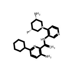 C=C(Nc1cnccc1N1C[C@@H](N)C[C@@H](F)C1)c1nc(C2CCCCC2)ccc1N